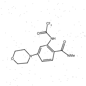 CNC(=O)c1ccc(N2CCOCC2)cc1NC(=O)C(F)(F)F